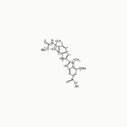 COc1cc(C(=O)OC(C)C)cc2nc(-c3cc4ccc(C(C)(C)NC(=O)OC(C)(C)C)nc4[nH]3)n(C)c12